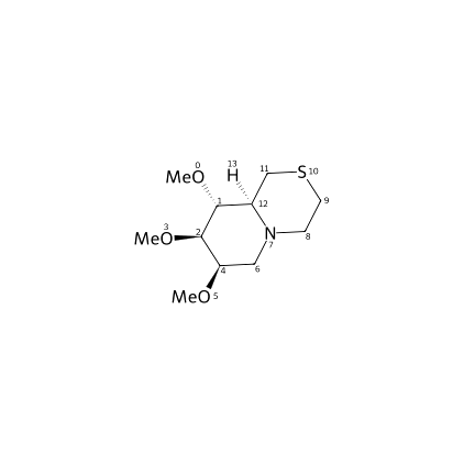 CO[C@H]1[C@H](OC)[C@H](OC)CN2CCSC[C@H]12